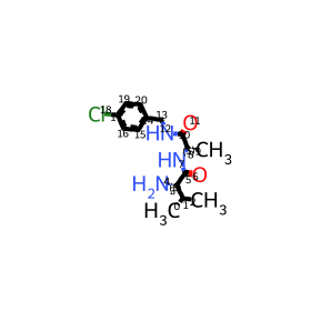 CC(C)[C@H](N)C(=O)N[C@@H](C)C(=O)NCc1ccc(Cl)cc1